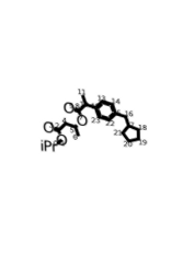 CC(C)OC(=O)CC(C)OC(=O)C(C)c1ccc(CC2CCCC2)cc1